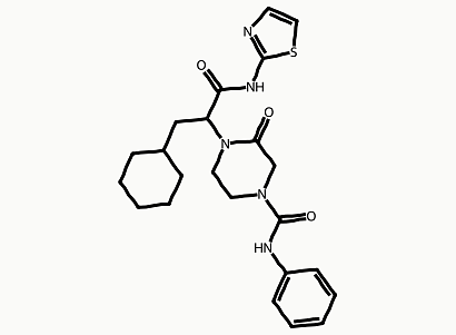 O=C(Nc1nccs1)C(CC1CCCCC1)N1CCN(C(=O)Nc2ccccc2)CC1=O